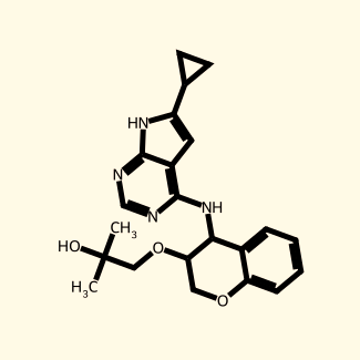 CC(C)(O)COC1COc2ccccc2C1Nc1ncnc2[nH]c(C3CC3)cc12